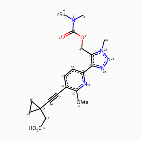 CCCCN(C)C(=O)OCc1c(-c2ccc(C#CC3(CC(=O)O)CC3)c(OC)n2)nnn1C